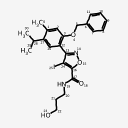 Cc1cc(OCc2ccccc2)c(-c2noc(C(=O)NCCCO)c2I)cc1C(C)C